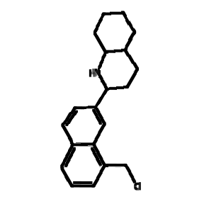 ClCc1cccc2ccc(C3CCC4CCCCC4N3)cc12